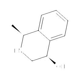 C[C@@H]1NC[C@H](O)c2ccccc21